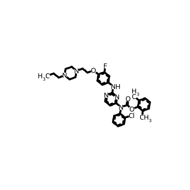 CCCN1CCN(CCOc2ccc(Nc3nccc(N(C(=O)Oc4c(C)cccc4C)c4ccccc4Cl)n3)cc2F)CC1